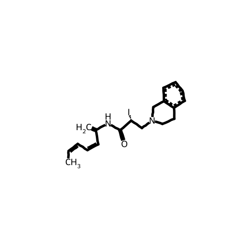 C=C(/C=C\C=C/C)NC(=O)[C@H](I)CN1CCc2ccccc2C1